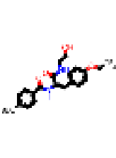 CC(C)COc1ccc(C(=O)N/C(=C/c2ccc(OCC(F)(F)F)cc2)C(=O)NCCO)cc1